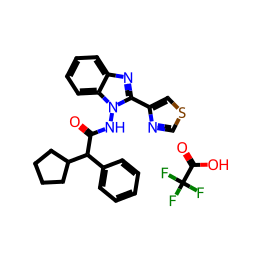 O=C(Nn1c(-c2cscn2)nc2ccccc21)C(c1ccccc1)C1CCCC1.O=C(O)C(F)(F)F